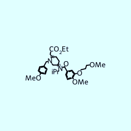 CCOC(=O)C[C@H]1CC[C@@H](N(C(=O)c2ccc(OC)c(OCCCOC)c2)C(C)C)CN1Cc1ccc(OC)cc1